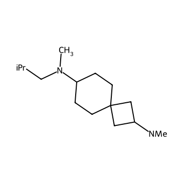 CNC1CC2(CCC(N(C)CC(C)C)CC2)C1